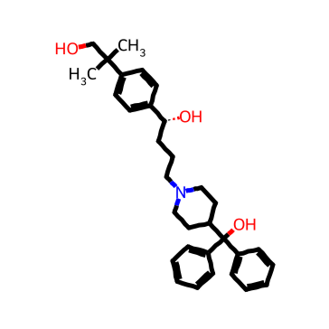 CC(C)(CO)c1ccc([C@H](O)CCCN2CCC(C(O)(c3ccccc3)c3ccccc3)CC2)cc1